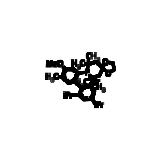 COc1cc(P2C(C)(C)CC3(CC2(C)C)OCCO3)c(-c2c(C(C)C)cc(C(C)C)cc2C(C)C)cc1C